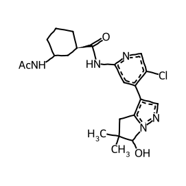 CC(=O)NC1CCC[C@@H](C(=O)Nc2cc(-c3cnn4c3CC(C)(C)C4O)c(Cl)cn2)C1